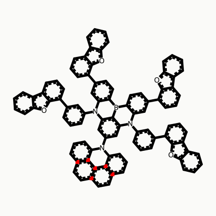 c1ccc(-c2ccccc2N(c2cc3c4c(c2)N(c2cccc(-c5cccc6c5oc5ccccc56)c2)c2cc(-c5cccc6c5oc5ccccc56)ccc2B4c2ccc(-c4cccc5c4oc4ccccc45)cc2N3c2cccc(-c3cccc4c3oc3ccccc34)c2)c2ccccc2-c2ccccc2)cc1